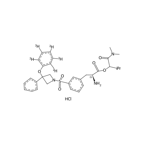 Cl.[2H]c1c([2H])c([2H])c(OC2(c3ccccc3)CN(S(=O)(=O)c3cccc(C[C@H](N)C(=O)OC(C(=O)N(C)C)C(C)C)c3)C2)c([2H])c1[2H]